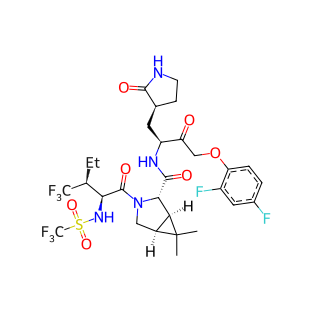 CC[C@@H]([C@H](NS(=O)(=O)C(F)(F)F)C(=O)N1C[C@H]2[C@@H]([C@H]1C(=O)N[C@@H](C[C@@H]1CCNC1=O)C(=O)COc1ccc(F)cc1F)C2(C)C)C(F)(F)F